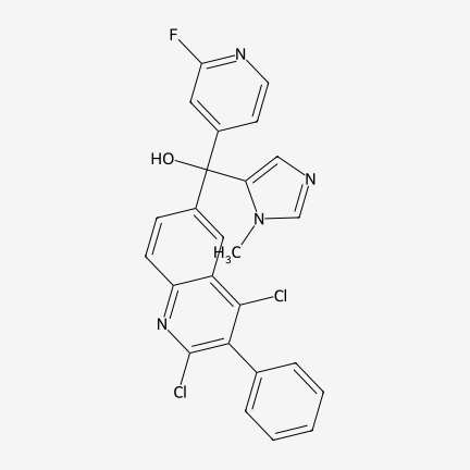 Cn1cncc1C(O)(c1ccnc(F)c1)c1ccc2nc(Cl)c(-c3ccccc3)c(Cl)c2c1